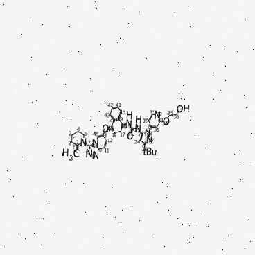 C[C@H]1CCCCN1c1nnc2ccc(O[C@@H]3CC[C@H](NC(=O)Nc4cc(C(C)(C)C)nn4-c4ccnc(OCCO)c4)c4ccccc43)cn12